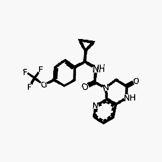 O=C1CN(C(=O)NC(C2=CC=C(OC(F)(F)F)CC2)C2CC2)c2ncccc2N1